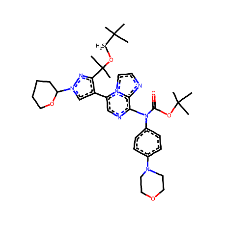 CC(C)(C)OC(=O)N(c1ccc(N2CCOCC2)cc1)c1ncc(-c2cn(C3CCCCO3)nc2C(C)(C)O[SiH2]C(C)(C)C)n2ccnc12